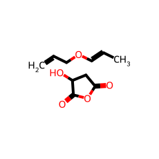 C=CCOC=CC.O=C1CC(O)C(=O)O1